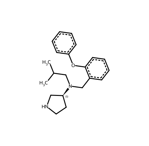 CC(C)CN(Cc1ccccc1Oc1ccccc1)[C@H]1CCNC1